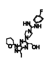 N=C(Nc1ccc(F)cc1)N1CCN(c2nc3c(nc2CO)c(I)nn3C2CCCCO2)CC1